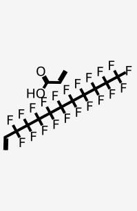 C=CC(=O)O.C=CC(F)(F)C(F)(F)C(F)(F)C(F)(F)C(F)(F)C(F)(F)C(F)(F)C(F)(F)C(F)(F)C(F)(F)F